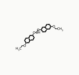 CCOc1ccc2cc(OBOc3ccc4cc(OCC)ccc4c3)ccc2c1